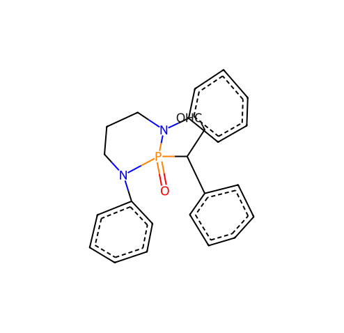 O=CCC(c1ccccc1)P1(=O)N(c2ccccc2)CCCN1c1ccccc1